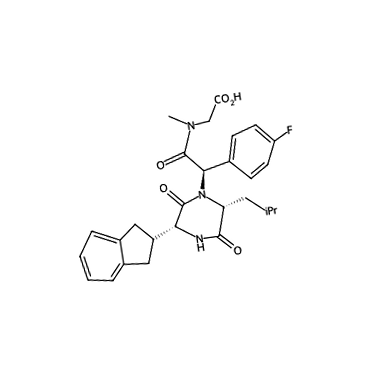 CC(C)C[C@@H]1C(=O)N[C@H](C2Cc3ccccc3C2)C(=O)N1[C@@H](C(=O)N(C)CC(=O)O)c1ccc(F)cc1